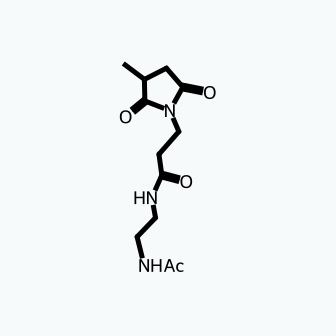 CC(=O)NCCNC(=O)CCN1C(=O)CC(C)C1=O